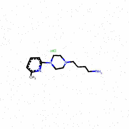 Cc1cccc(N2CCN(CCCCN)CC2)n1.Cl